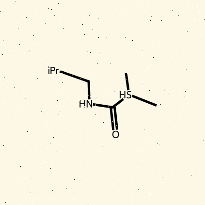 CC(C)CNC(=O)[SH](C)C